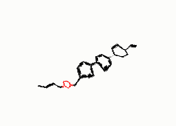 C=C[C@H]1CC[C@H](c2ccc(-c3ccc(COCC=CC)cc3)cc2)CC1